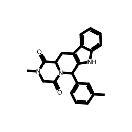 Cc1cccc(C2c3[nH]c4ccccc4c3CC3C(=O)N(C)CC(=O)N32)c1